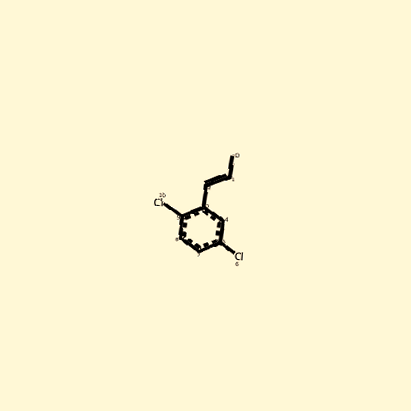 C/C=C/c1cc(Cl)ccc1Cl